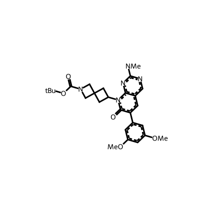 CNc1ncc2cc(-c3cc(OC)cc(OC)c3)c(=O)n(C3CC4(C3)CN(C(=O)OC(C)(C)C)C4)c2n1